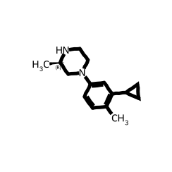 Cc1ccc(N2CCN[C@H](C)C2)cc1C1CC1